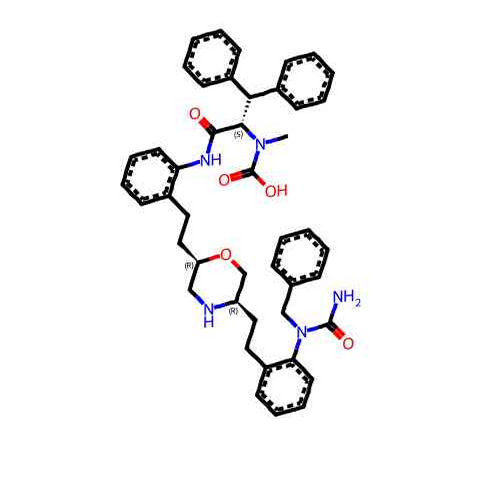 CN(C(=O)O)[C@H](C(=O)Nc1ccccc1CC[C@@H]1CN[C@H](CCc2ccccc2N(Cc2ccccc2)C(N)=O)CO1)C(c1ccccc1)c1ccccc1